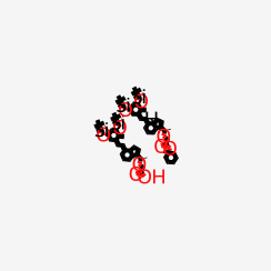 C=C1C(=CC=C2CCC[C@]3(C)C([C@H](C)OCC(=O)O)=CCC23)C[C@@H](O[Si](C)(C)C(C)(C)C)C[C@@H]1O[Si](C)(C)C(C)(C)C.C=C1C(=CC=C2CCC[C@]3(C)C([C@H](C)OCC(=O)OC4(C)CCCCC4)=CC[C@@H]23)C[C@@H](O[Si](C)(C)C(C)(C)C)C[C@@H]1O[Si](C)(C)C(C)(C)C